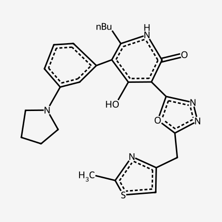 CCCCc1[nH]c(=O)c(-c2nnc(Cc3csc(C)n3)o2)c(O)c1-c1cccc(N2CCCC2)c1